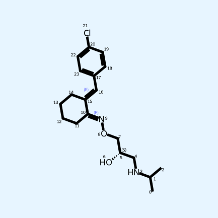 CC(C)NC[C@H](O)CO/N=C1\CCCC\C1=C/c1ccc(Cl)cc1